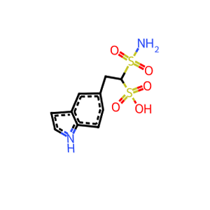 NS(=O)(=O)C(Cc1ccc2[nH]ccc2c1)S(=O)(=O)O